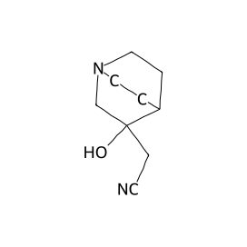 N#CCC1(O)CN2CCC1CC2